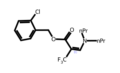 CCCN(/C=C(\C(=O)OCc1ccccc1Cl)C(F)(F)F)CCC